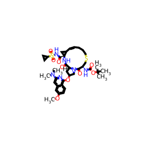 COc1ccc2c(OC3C[C@H]4C(=O)N[C@]5(C(=O)NS(=O)(=O)C6CC6)CC5/C=C\CCCSC[C@H](NC(=O)OC(C)(C)C)C(=O)N4C3)nc(N(C)C)cc2c1